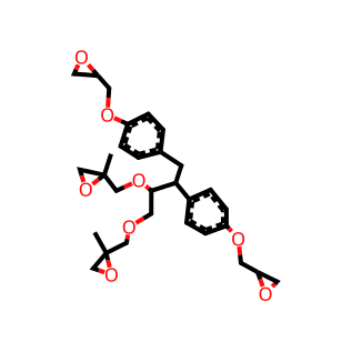 CC1(COCC(OCC2(C)CO2)C(Cc2ccc(OCC3CO3)cc2)c2ccc(OCC3CO3)cc2)CO1